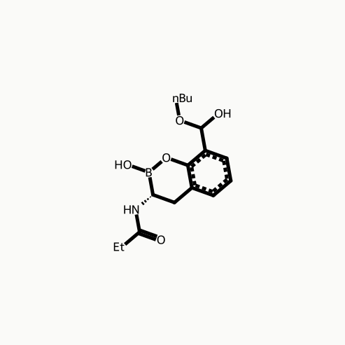 CCCCOC(O)c1cccc2c1OB(O)[C@@H](NC(=O)CC)C2